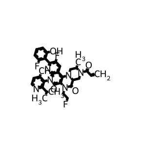 C=CC(=O)N1CC2C(=O)N(CCF)c3c(c4cc(F)c(-c5c(O)cccc5F)nc4n(-c4c(C)ccnc4C(C)C)c3=O)N2CC1C